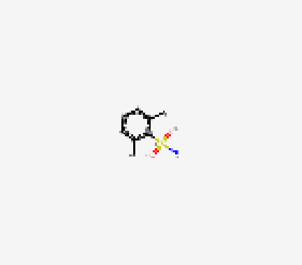 Cc1cccc(C)c1S([NH])(=O)=O